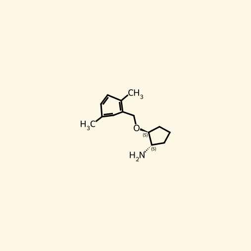 Cc1ccc(C)c(CO[C@H]2CCC[C@@H]2N)c1